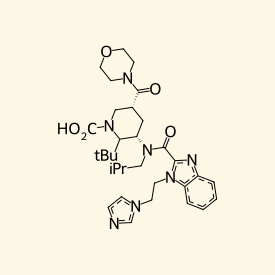 CC(C)CN(C(=O)c1nc2ccccc2n1CCn1ccnc1)[C@H]1C[C@@H](C(=O)N2CCOCC2)CN(C(=O)O)C1C(C)(C)C